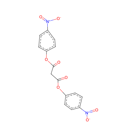 O=C(CC(=O)Oc1ccc([N+](=O)[O-])cc1)Oc1ccc([N+](=O)[O-])cc1